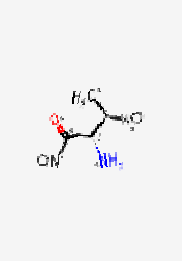 C[C@@H](N=O)[C@H](N)C(=O)N=O